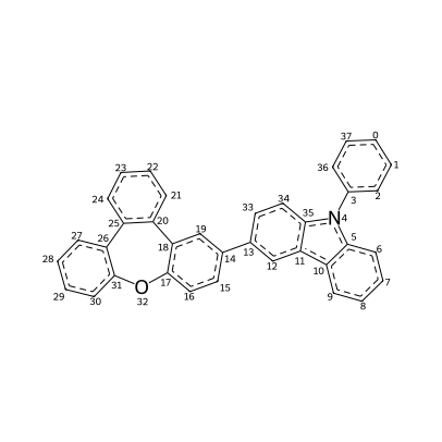 c1ccc(-n2c3ccccc3c3cc(-c4ccc5c(c4)-c4ccccc4-c4ccccc4O5)ccc32)cc1